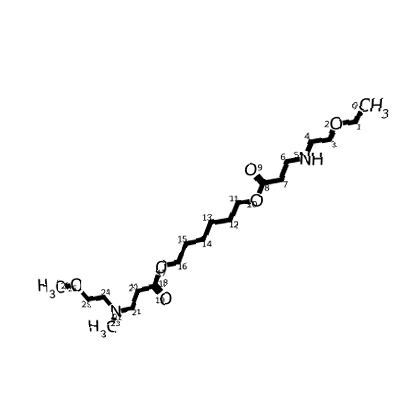 CCOCCNCCC(=O)OCCCCCCOC(=O)CCN(C)CCOC